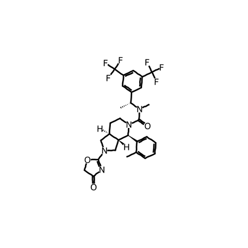 Cc1ccccc1[C@H]1[C@@H]2CN(C3=NC(=O)CO3)C[C@H]2CCN1C(=O)N(C)[C@H](C)c1cc(C(F)(F)F)cc(C(F)(F)F)c1